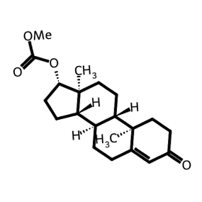 COC(=O)O[C@H]1CC[C@H]2[C@@H]3CCC4=CC(=O)CC[C@]4(C)[C@H]3CC[C@]12C